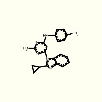 Cc1ccc(Nc2nc(N)nc(-n3c(C4CC4)nc4ccccc43)n2)cc1